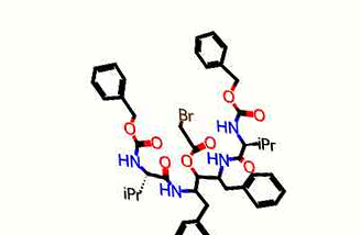 CC(C)[C@H](NC(=O)OCc1ccccc1)C(=O)NC(Cc1ccccc1)C(OC(=O)CBr)C(Cc1ccccc1)NC(=O)[C@@H](NC(=O)OCc1ccccc1)C(C)C